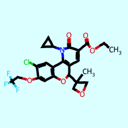 CCOC(=O)c1cc2c(n(C3CC3)c1=O)-c1cc(Cl)c(OCC(F)(F)F)cc1OC2C1(C)COC1